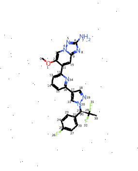 COc1cn2nc(N)nc2cc1-c1cccc(-c2cnn([C@H](c3ccc(F)cc3)C(C)(F)F)c2)n1